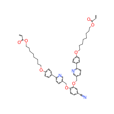 C=CC(=O)OCCCCCCCCOc1ccc(-c2ccc(COc3ccc(C#N)cc3OCc3ccc(-c4ccc(OCCCCCCCCOC(=O)C=C)cc4)nc3)cn2)cc1